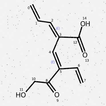 C=C/C=C(\C=C(/C=C)C(=O)CO)C(=O)O